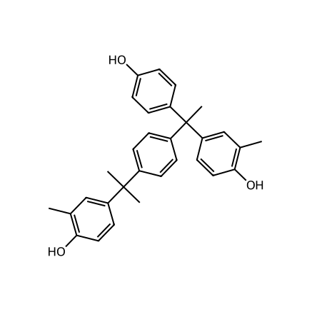 Cc1cc(C(C)(C)c2ccc(C(C)(c3ccc(O)cc3)c3ccc(O)c(C)c3)cc2)ccc1O